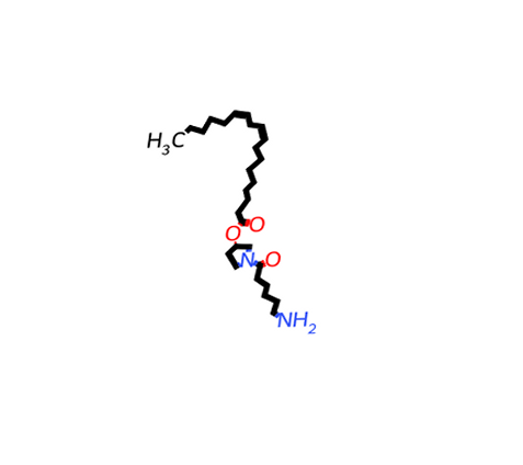 CCCCC/C=C\C/C=C\CCCCCCCC(=O)O[C@H]1CCN(C(=O)CCCCCN)C1